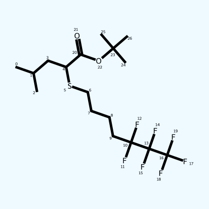 CC(C)CC(SCCCCC(F)(F)C(F)(F)C(F)(F)F)C(=O)OC(C)(C)C